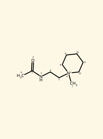 CC(=O)NCC[N+]1(C)CCCCC1